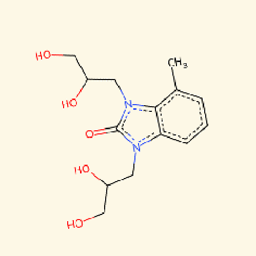 Cc1cccc2c1n(CC(O)CO)c(=O)n2CC(O)CO